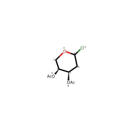 CC(=O)O[C@H]1COC(Cl)C[C@H]1OC(C)=O